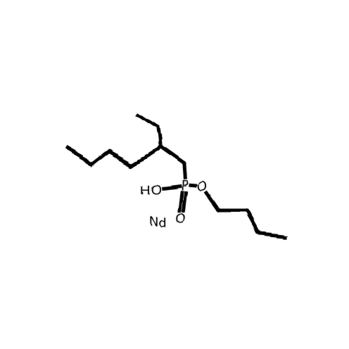 CCCCOP(=O)(O)CC(CC)CCCC.[Nd]